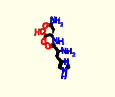 NC(=O)C[C@H](NC(=O)[C@@H](N)Cc1c[nH]cn1)C(=O)O